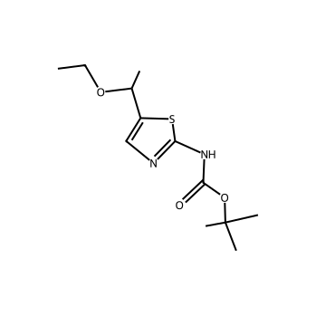 CCOC(C)c1cnc(NC(=O)OC(C)(C)C)s1